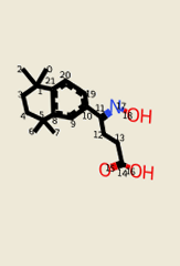 CC1(C)CCC(C)(C)c2cc(C(CCC(=O)O)=NO)ccc21